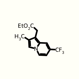 CCOC(=O)Cc1c(C)cn2ccc(C(F)(F)F)cc12